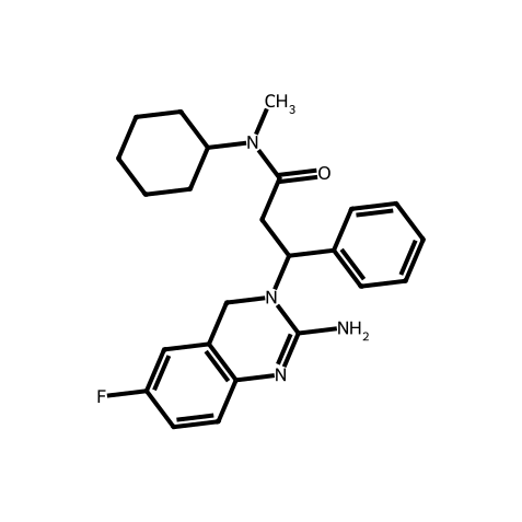 CN(C(=O)CC(c1ccccc1)N1Cc2cc(F)ccc2N=C1N)C1CCCCC1